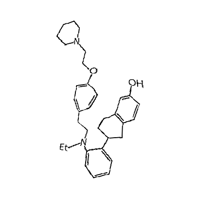 CCN(CCc1ccc(OCCN2CCCCC2)cc1)c1ccccc1C1CCc2cc(O)ccc2C1